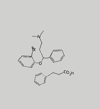 CN(C)CCC(Oc1ccccc1Br)c1ccccc1.O=C(O)CCc1ccccc1